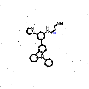 N=C/C=C\Nc1cc(-c2ccc3c(c2)c2ccccc2n3-c2ccccc2)cc(-n2cccn2)c1